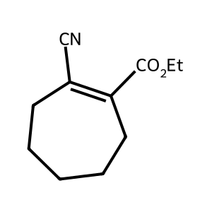 CCOC(=O)C1=C(C#N)CCCCC1